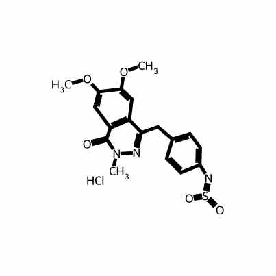 COc1cc2c(Cc3ccc(N=S(=O)=O)cc3)nn(C)c(=O)c2cc1OC.Cl